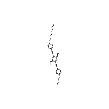 CCCCCCCCCc1ccc(C#Cc2cc(F)c(C#Cc3ccc(CCCCC)cc3)cc2F)cc1